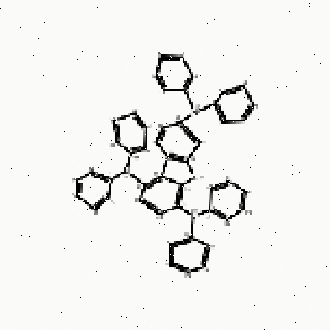 c1ccc(N(c2ccccc2)c2ccc3c(c2)sc2c(N(c4ccccc4)c4ccccc4)ccc(N(c4ccccc4)c4ccccc4)c23)cc1